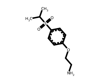 CC(C)S(=O)(=O)c1ccc(OCCN)cc1